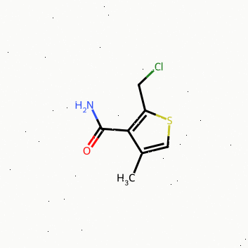 Cc1csc(CCl)c1C(N)=O